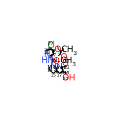 COC[C@@H](C)Oc1cc(NC(=O)N2CCCc3cc(CO)c(C=O)nc32)ncc1Cl